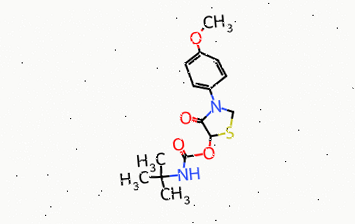 COc1ccc(N2CSC(OC(=O)NC(C)(C)C)C2=O)cc1